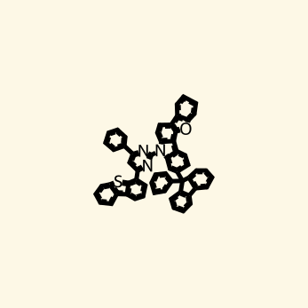 c1ccc(-c2cc(-c3cccc4c3sc3ccccc34)nc(-n3c4cc(C5(c6ccccc6)c6ccccc6-c6ccccc65)ccc4c4c5oc6ccccc6c5ccc43)n2)cc1